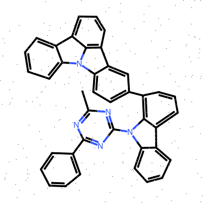 Cc1nc(-c2ccccc2)nc(-n2c3ccccc3c3cccc(-c4ccc5c(c4)c4cccc6c7ccccc7n5c64)c32)n1